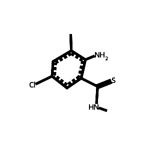 CNC(=S)c1cc(Cl)cc(C)c1N